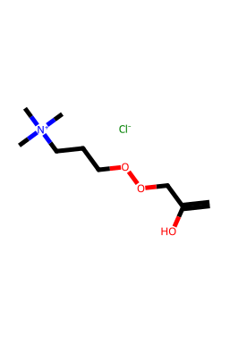 C=C(O)COOCCC[N+](C)(C)C.[Cl-]